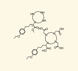 CCOc1ccc(CCCC(C(=O)O)N2CCN(CC(=O)O)CCN(CC(=O)O)CCN(CC(=O)O)CC2)cc1.CCOc1ccc(CCC[C@H](C(=O)OC)N2CCNCCNCCNCC2)cc1